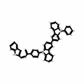 C=C(/C=C\c1cc2ccccc2o1)c1ccc(-n2c3ccccc3c3cc(-c4ccc5c(c4)c4ccccc4n5-c4ccccc4)ccc32)cc1